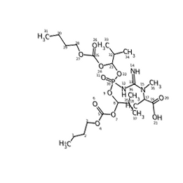 CCCCOC(=O)OC(OP(=O)(NC(=N)N(C)C(C)C(=O)O)OC(OC(=O)OCCCC)C(C)C)C(C)C